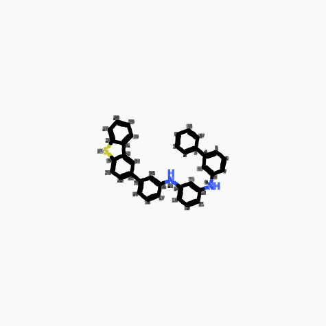 c1ccc(-c2cccc(Nc3cccc(Nc4cccc(-c5ccc6sc7ccccc7c6c5)c4)c3)c2)cc1